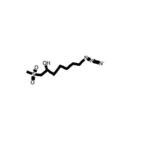 CS(=O)(=O)CC(O)CCCCCN=[N+]=[N-]